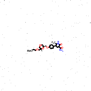 COCCOC[C@@]1(C)COC[C@@H](COc2ccc(-c3cc(C(N)=O)c(=O)[nH]c3C(F)(F)F)cc2)O1